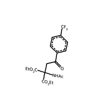 CCOC(=O)C(CC(=O)c1ccc(C(F)(F)F)cc1)(NC(C)=O)C(=O)OCC